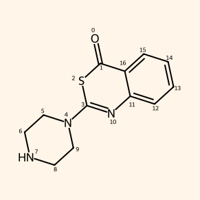 O=c1sc(N2CCNCC2)nc2ccccc12